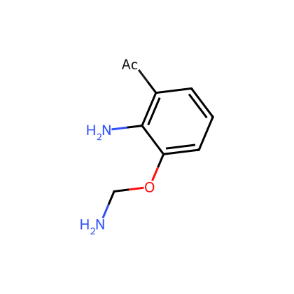 CC(=O)c1cccc(OCN)c1N